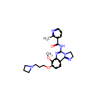 COc1c(OCCCN2CCC2)ccc2c1N=C(NC(=O)c1cccnc1C)N1CCN=C21